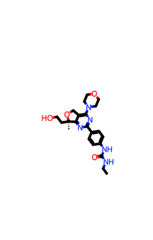 CCNC(=O)Nc1ccc(-c2nc(N3CCOCC3)c3c(n2)[C@@](C)(CCO)OC3)cc1